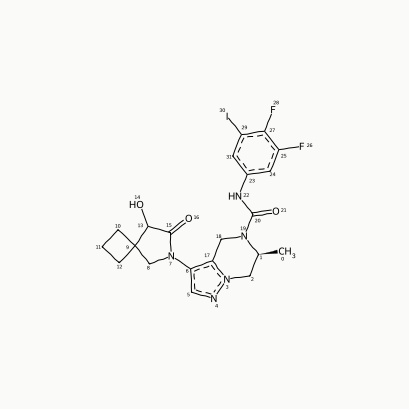 C[C@H]1Cn2ncc(N3CC4(CCC4)C(O)C3=O)c2CN1C(=O)Nc1cc(F)c(F)c(I)c1